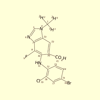 [2H]C([2H])([2H])n1cnc2c(F)c(Nc3ccc(Br)cc3Cl)c(C(=O)O)cc21